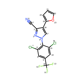 N#Cc1nn(-c2c(Cl)cc(C(F)(F)F)cc2Cl)cc1-c1ccco1